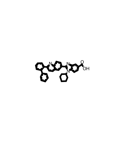 O=C(O)c1ccc2c(c1)nc(-c1ccc3nc(-c4ccccc4-c4ccccc4)ccc3c1)n2C1CCCCC1